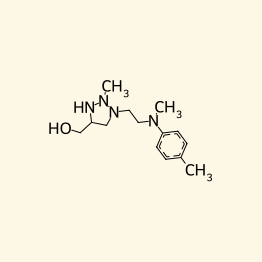 Cc1ccc(N(C)CCN2CC(CO)NN2C)cc1